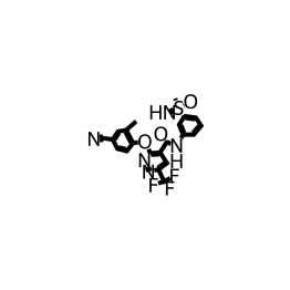 Cc1cc(C#N)ccc1Oc1nnc(C(F)(F)F)cc1C(=O)Nc1cccc(S(C)(=N)=O)c1